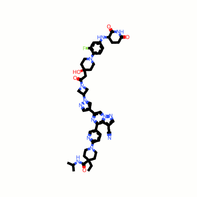 CCC1(C(=O)NC(C)C)CCN(c2ccc(-c3nc(-c4cnn(C5CN(C(=O)CC6(O)CCN(c7ccc(NC8CCC(=O)NC8=O)cc7F)CC6)C5)c4)cn4ncc(C#N)c34)cn2)CC1